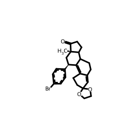 C[C@]12C[C@H](c3ccc(Br)cc3)C3=C4CCC5(C=C4CCC3C1CCC2=O)OCCO5